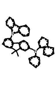 CC1(C)c2cc(N(c3ccccc3)c3cccc4ccccc34)ccc2-c2c(-n3c4ccccc4c4ccccc43)cccc21